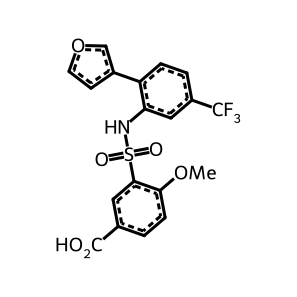 COc1ccc(C(=O)O)cc1S(=O)(=O)Nc1cc(C(F)(F)F)ccc1-c1ccoc1